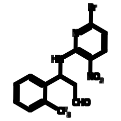 O=CCC(Nc1nc(Br)ccc1[N+](=O)[O-])c1ccccc1C(F)(F)F